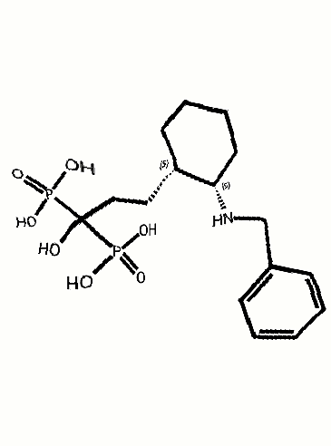 O=P(O)(O)C(O)(CC[C@@H]1CCCC[C@@H]1NCc1ccccc1)P(=O)(O)O